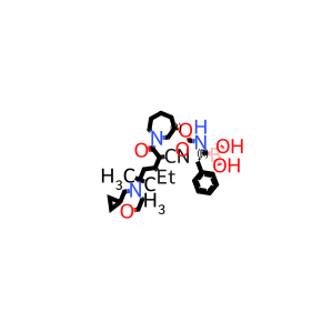 CCC(CC(C)(C)N1CCOC2(CC2)C1)C(C#N)C(=O)N1CCCC[C@@H](OC(=O)N[C@@H](Cc2ccccc2)B(O)O)C1